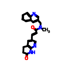 CN(Cc1cnc2ccccc2c1)C(=O)C=Cc1cnc2c(c1)CCC(=O)N2